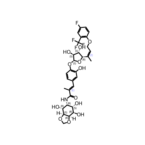 C/C(=C/COc1ccc(F)cc1C(F)(F)F)[C@H]1O[C@@H](Oc2ccc(/C=C(\C)C(=O)N[C@@H]3[C@H](O)[C@@H](O)[C@H]4OCO[C@H]4[C@@H]3O)cc2O)[C@@H](O)[C@@H]1O